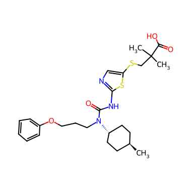 CC(C)(CSc1cnc(NC(=O)N(CCCOc2ccccc2)[C@H]2CC[C@H](C)CC2)s1)C(=O)O